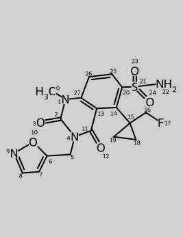 Cn1c(=O)n(Cc2ccno2)c(=O)c2c(C3(CF)CC3)c(S(N)(=O)=O)ccc21